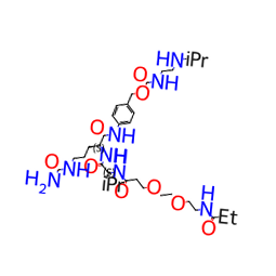 CCC(=O)NCCOCCOCCC(=O)N[C@H](C(=O)N[C@@H](CCCNC(N)=O)C(=O)Nc1ccc(COC(=O)NCCNC(C)C)cc1)C(C)C